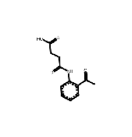 CC(=O)c1ccccc1NC(=O)CCC(=O)O